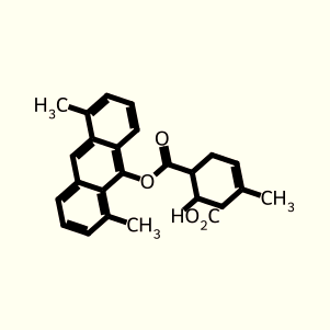 CC1=CCC(C(=O)Oc2c3cccc(C)c3cc3cccc(C)c23)C(C(=O)O)C1